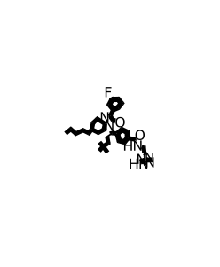 CCCCCC1CCC2(CC1)N=C(c1cccc(F)c1)C(=O)N2[C@H](CCC(C)(C)C)c1ccc(C(=O)NCc2nn[nH]n2)cc1